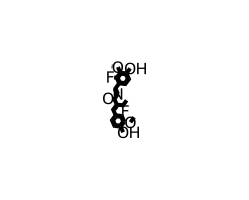 CC/C(=C\c1ccc(O)c(OC)c1F)C(=O)/N=C/c1ccc(O)c(OC)c1F